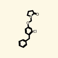 Cl.O=C1CCCN1COc1ccc(Cc2ccccc2)cc1